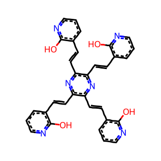 Oc1ncccc1C=Cc1nc(C=Cc2cccnc2O)c(C=Cc2cccnc2O)nc1C=Cc1cccnc1O